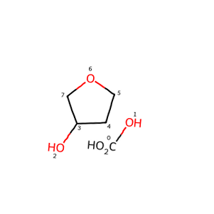 O=C(O)O.OC1CCOC1